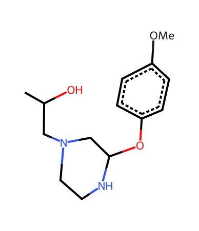 COc1ccc(OC2CN(CC(C)O)CCN2)cc1